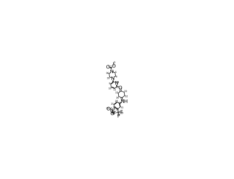 COC(=O)N1CCN(c2cccc(O[C@H]3CC[C@H](Nc4ccc([N+](=O)[O-])c(C(F)(F)F)c4)CC3)n2)CC1